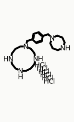 Cl.Cl.Cl.Cl.Cl.Cl.c1cc(CN2CCCNCCNCCCNCC2)ccc1CN1CCCNCCC1